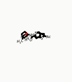 CC(=O)c1cc2cnc(C(=O)N[C@@H]3C4CCN(CC4)[C@H]3C)cc2s1